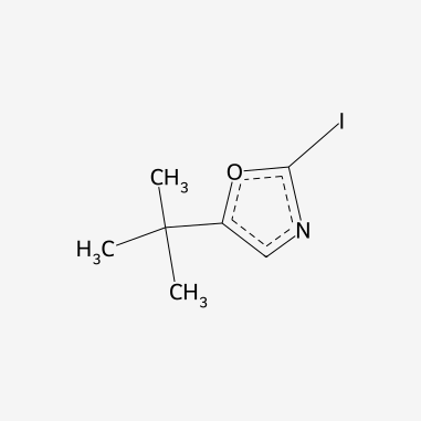 CC(C)(C)c1cnc(I)o1